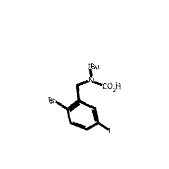 CC(C)(C)N(Cc1cc(I)ccc1Br)C(=O)O